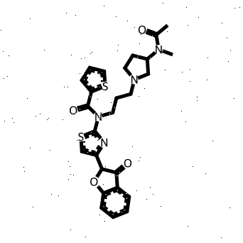 CC(=O)N(C)C1CCN(CCCN(C(=O)c2cccs2)c2nc(C3Oc4ccccc4C3=O)cs2)C1